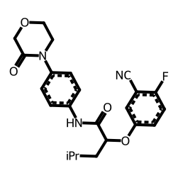 CC(C)CC(Oc1ccc(F)c(C#N)c1)C(=O)Nc1ccc(N2CCOCC2=O)cc1